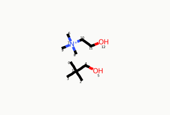 CC(C)(C)CO.C[N+](C)(C)CCO